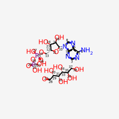 Nc1ncnc2c1ncn2[C@@H]1O[C@H](COP(=O)(O)OP(=O)(O)O)[C@@H](O)[C@H]1O.O=C[C@H](O)[C@@H](O)[C@H](O)[C@H](O)CO